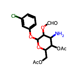 CC(=O)OCC1OC(Oc2cccc(Cl)c2)C(OC=O)C(N)C1OC(C)=O